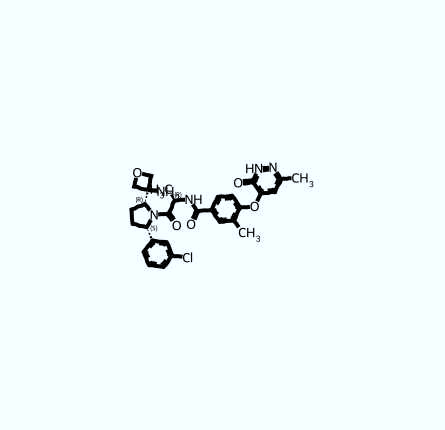 Cc1cc(Oc2ccc(C(=O)N[C@H](C)C(=O)N3[C@H](c4cccc(Cl)c4)CC[C@@H]3C3(N)COC3)cc2C)c(=O)[nH]n1